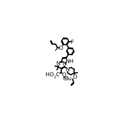 C=CCOC1(C)CCN(C2=C(C(OC(C)(C)C)C(=O)O)C(C)(C)N=C3C=C(c4cccc(-c5c(F)cccc5O[C@@H](C)CC=C)c4)NN32)CC1